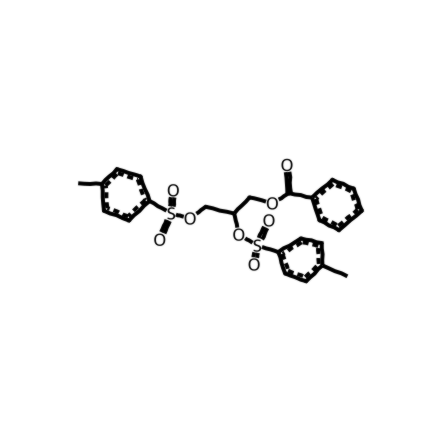 Cc1ccc(S(=O)(=O)OCC(COC(=O)c2ccccc2)OS(=O)(=O)c2ccc(C)cc2)cc1